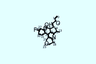 C=CC(=O)CCC(C(=O)O)c1c(C(C)C)nc(C(C)C)c(COC)c1-c1ccc(F)cc1